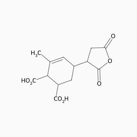 CC1=CC(C2CC(=O)OC2=O)CC(C(=O)O)C1C(=O)O